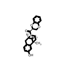 C[C@H]1[C@H]2Cc3ccc(O)cc3[C@]1(C)CCN2C(=O)[C@@H]1COc2ccccc2O1